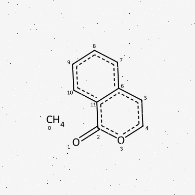 C.O=c1occc2ccccc12